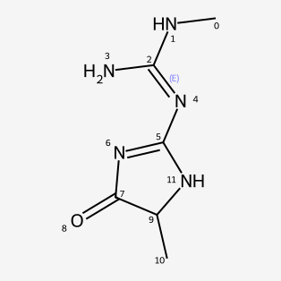 CN/C(N)=N/C1=NC(=O)C(C)N1